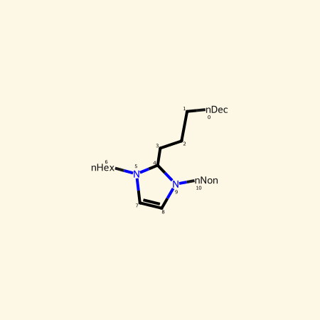 CCCCCCCCCCCCCC1N(CCCCCC)C=CN1CCCCCCCCC